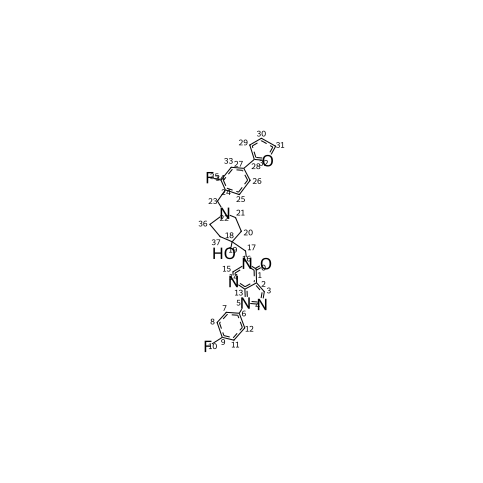 O=c1c2cnn(-c3ccc(F)cc3)c2ncn1CC1(O)CCN(Cc2ccc(-c3ccco3)cc2F)CC1